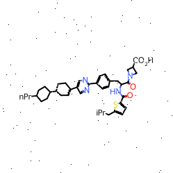 CCCC1CCC(C2CC=C(c3cnc(-c4ccc(CC(NC(=O)c5ccc(CC(C)C)s5)C(=O)N5CC(C(=O)O)C5)cc4)nc3)CC2)CC1